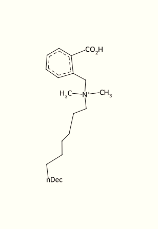 CCCCCCCCCCCCCCCC[N+](C)(C)Cc1ccccc1C(=O)O